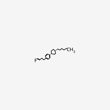 CCCCCC[C@H]1CC[C@H](c2ccc(CCC=CF)cc2)CC1